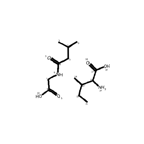 CC(C)CC(=O)NCC(=O)O.CCC(C)C(N)C(=O)O